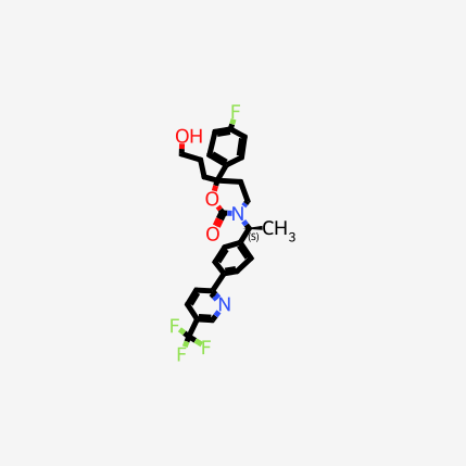 C[C@@H](c1ccc(-c2ccc(C(F)(F)F)cn2)cc1)N1CCC(CCCO)(c2ccc(F)cc2)OC1=O